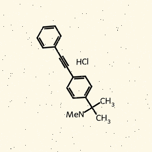 CNC(C)(C)c1ccc(C#Cc2ccccc2)cc1.Cl